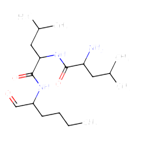 CCCCC(C=O)NC(=O)C(CC(C)C)NC(=O)C(N)CC(C)C